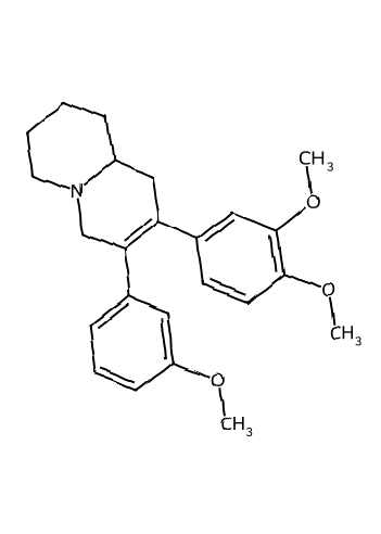 COc1cccc(C2=C(c3ccc(OC)c(OC)c3)CC3CCCCN3C2)c1